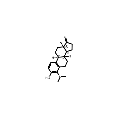 CN(C)c1c(O)ccc2c1CC[C@@H]1[C@@H]2CC[C@]2(C)C(=O)CC[C@@H]12